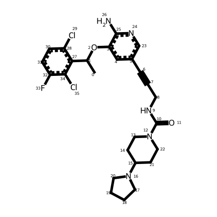 CC(Oc1cc(C#CCNC(=O)N2CCC(N3CCCC3)CC2)cnc1N)c1c(Cl)ccc(F)c1Cl